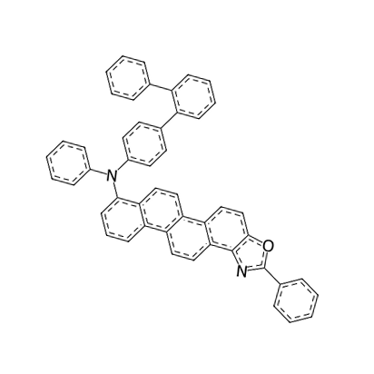 c1ccc(-c2nc3c(ccc4c5ccc6c(N(c7ccccc7)c7ccc(-c8ccccc8-c8ccccc8)cc7)cccc6c5ccc43)o2)cc1